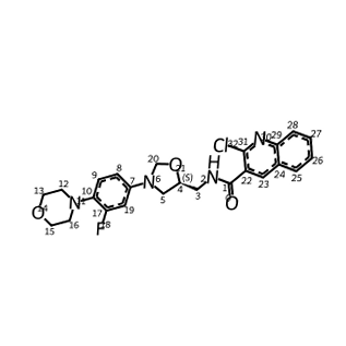 O=C(NC[C@H]1CN(c2ccc(N3CCOCC3)c(F)c2)CO1)c1cc2ccccc2nc1Cl